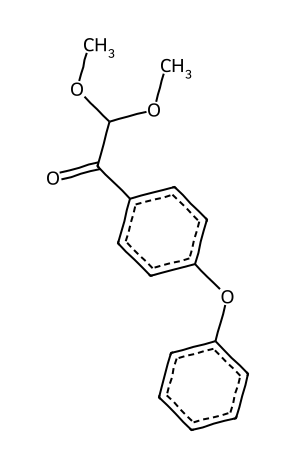 COC(OC)C(=O)c1ccc(Oc2ccccc2)cc1